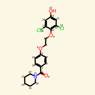 O=C(c1ccc(OCCOc2c(Cl)cc(O)cc2Cl)cc1)N1CCCCC1